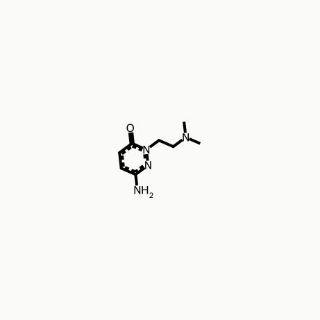 CN(C)CCn1nc(N)ccc1=O